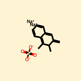 C=C1C=c2ccccc2=C(C)C1C.O=S(=O)([O-])[O-].[Na+].[Na+]